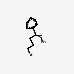 CCCCOC(CCCO)c1ccccc1